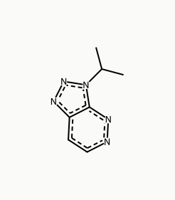 CC(C)n1nnc2ccnnc21